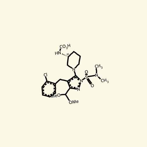 COC(OC)c1nn(S(=O)(=O)N(C)C)c(N2CCC[C@@H](NC(=O)O)C2)c1Cc1ccccc1Cl